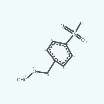 CS(=O)(=O)c1ccc(COC=O)cc1